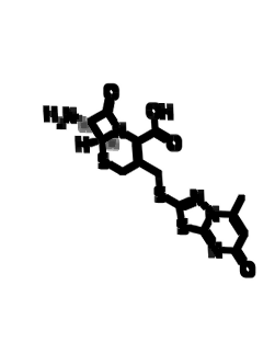 Cc1cc(=O)nc2sc(SCC3=C(C(=O)O)N4C(=O)[C@@H](N)[C@H]4SC3)nn12